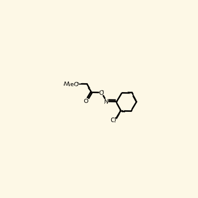 COCC(=O)ON=C1CCCCC1Cl